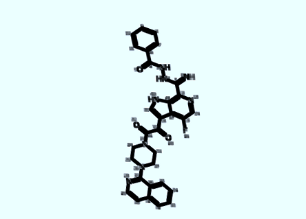 N=C(NNC(=O)c1ccccc1)c1ncc(F)c2c(C(=O)C(=O)N3CCN(c4nccc5ccccc45)CC3)c[nH]c12